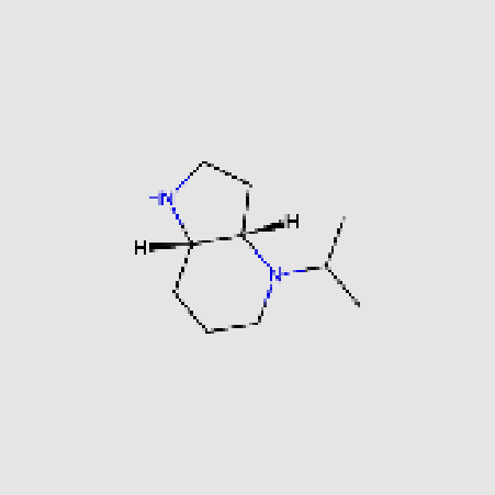 CC(C)N1CCC[C@@H]2NCC[C@@H]21